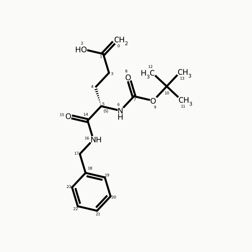 C=C(O)CC[C@H](NC(=O)OC(C)(C)C)C(=O)NCc1ccccc1